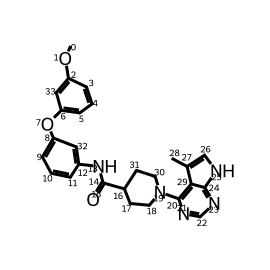 COc1cccc(Oc2cccc(NC(=O)C3CCN(c4ncnc5[nH]cc(C)c45)CC3)c2)c1